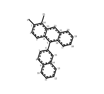 Cc1ccc2c(-c3ccc4ccccc4c3)c3ccccc3cc2c1C